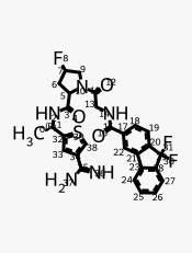 C[C@@H](NC(=O)C1CC(F)CN1C(=O)CNC(=O)c1ccc2c(c1)-c1ccccc1C2(F)F)c1cc(C(=N)N)cs1